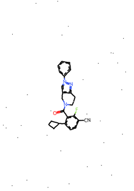 N#Cc1ccc(C2CCC2)c(C(=O)N2CCc3nn(-c4ccccc4)cc3C2)c1F